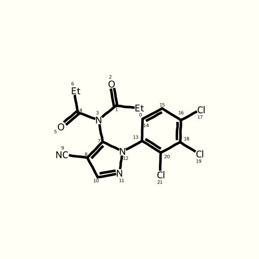 CCC(=O)N(C(=O)CC)c1c(C#N)cnn1-c1ccc(Cl)c(Cl)c1Cl